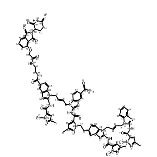 CCn1nc(C)cc1C(=O)Nc1nc2ccccc2n1C/C=C/Cn1c(NC(=O)c2cc(C)nn2CC)nc2cc(CCn3nc(C)cc3C(=O)Nc3nc4cc(C(N)=O)ccc4n3C/C=C/Cn3c(NC(=O)c4cc(C)nn4CC)nc4cc(C(=O)NCCNC(=O)COc5cccc6c5C(=O)N(C5CCC(=O)NC5=O)C6=O)ccc43)ccc21